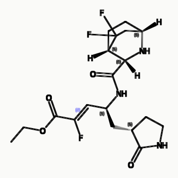 CCOC(=O)/C(F)=C/[C@H](C[C@@H]1CCNC1=O)NC(=O)[C@H]1N[C@H]2CC[C@@H]1C(F)(F)C2